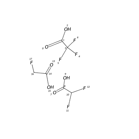 O=C(O)C(F)(F)F.O=C(O)C(F)F.O=C(O)CF